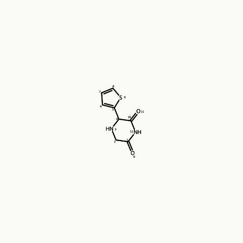 O=C1CNC(c2cccs2)C(=O)N1